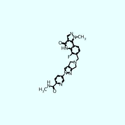 CNC(=O)c1ccc(-n2cc3c(n2)CN(Cc2ccc4c([nH]c(=O)c5cnn(C)c54)c2F)C3)cn1